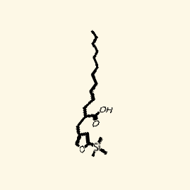 CCCCCCCCCCCC(Cc1coc([Si](C)(C)C)c1)C(=O)O